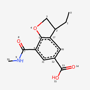 CCC1COc2c(C(=O)NC)cc(C(=O)O)cc21